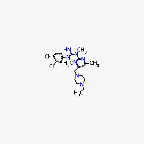 CCN1CCN(Cc2cc(C)nc(N(C)C(=N)N(C)c3ccc(Cl)c(Cl)c3)n2)CC1